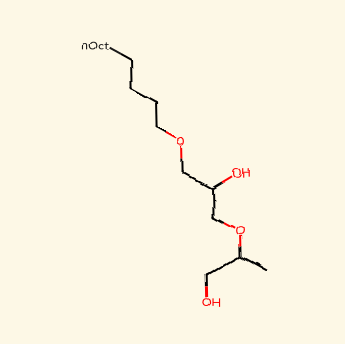 CCCCCCCCCCCCOCC(O)COC(C)CO